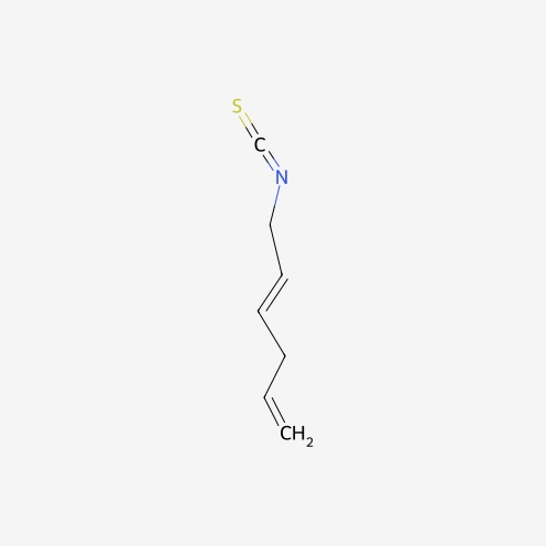 C=CCC=CCN=C=S